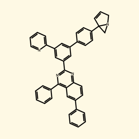 C1=CC2(c3ccc(-c4cc(-c5ccccn5)cc(-c5nc(-c6ccccc6)c6cc(-c7ccccc7)ccc6n5)c4)cc3)CN2C1